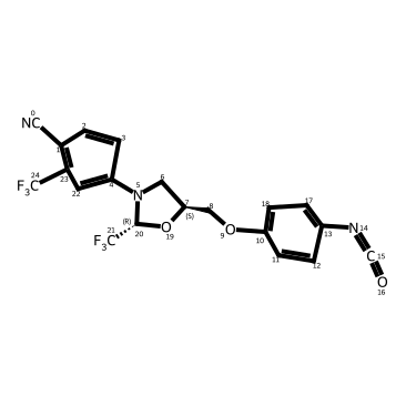 N#Cc1ccc(N2C[C@@H](COc3ccc(N=C=O)cc3)O[C@@H]2C(F)(F)F)cc1C(F)(F)F